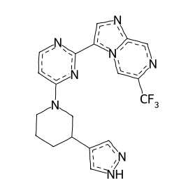 FC(F)(F)c1cn2c(-c3nccc(N4CCCC(c5cn[nH]c5)C4)n3)cnc2cn1